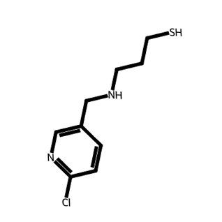 SCCCNCc1ccc(Cl)nc1